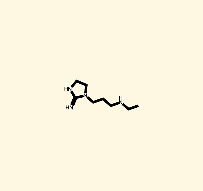 CCNCCCN1CCNC1=N